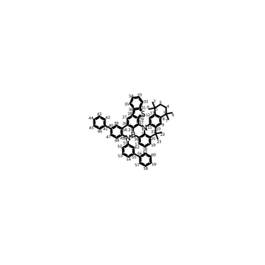 CC1(C)CCC(C)(C)c2cc3c(cc21)N1c2c(cccc2C3(C)C)B2c3c(cc4c(sc5ccccc54)c31)-c1cc(-c3ccccc3)ccc1N2c1cccc(-c2ccccc2)c1